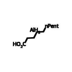 CCCCCCCCCC(=O)O.[AlH3]